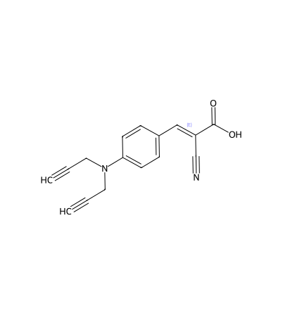 C#CCN(CC#C)c1ccc(/C=C(\C#N)C(=O)O)cc1